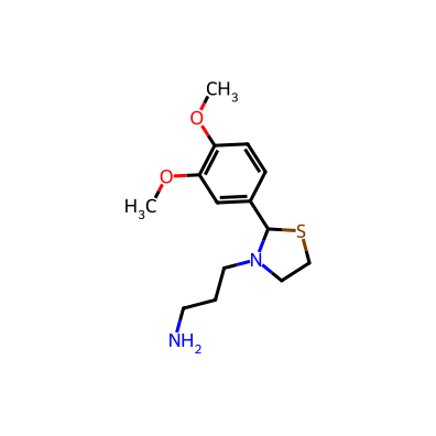 COc1ccc(C2SCCN2CCCN)cc1OC